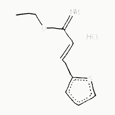 CCOC(=N)C=Cc1cccs1.Cl